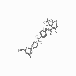 Cc1cc(C#N)nc(N2CCN(S(=O)(=O)c3ccc(NC(=O)c4c(Cl)cnnc4N(C)S(C)(=O)=O)cc3)CC2)n1